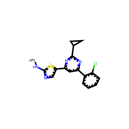 CCCNc1ncc(-c2cc(-c3ccccc3Cl)nc(C3CC3)n2)s1